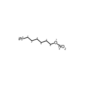 CC(C)CCCCCCO[N+](=O)[O-]